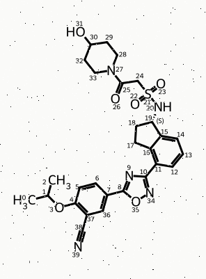 CC(C)Oc1ccc(-c2nc(-c3cccc4c3CC[C@@H]4NS(=O)(=O)CC(=O)N3CCC(O)CC3)no2)cc1C#N